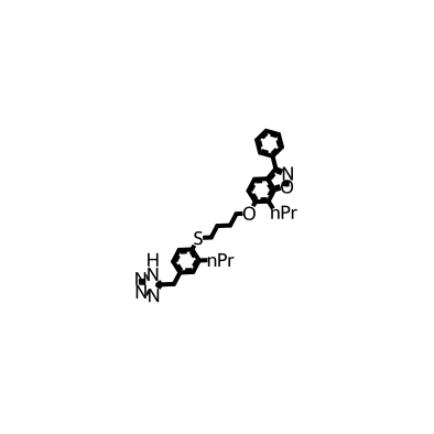 CCCc1cc(Cc2nnn[nH]2)ccc1SCCCCOc1ccc2c(-c3ccccc3)noc2c1CCC